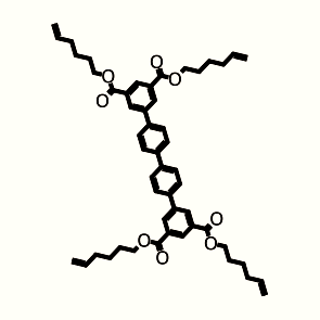 C=CCCCCOC(=O)c1cc(C(=O)OCCCCC=C)cc(-c2ccc(-c3ccc(-c4cc(C(=O)OCCCCC=C)cc(C(=O)OCCCCC=C)c4)cc3)cc2)c1